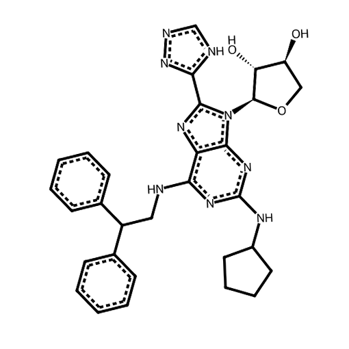 O[C@H]1[C@H](n2c(-c3nnc[nH]3)nc3c(NCC(c4ccccc4)c4ccccc4)nc(NC4CCCC4)nc32)OC[C@@H]1O